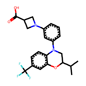 CC(C)C1CN(c2cccc(N3CC(C(=O)O)C3)c2)c2ccc(C(F)(F)F)cc2O1